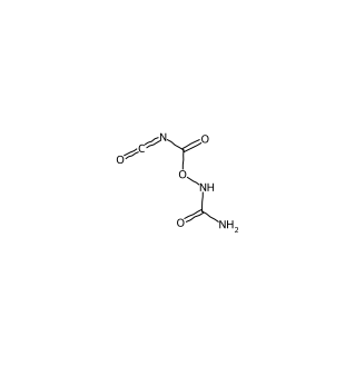 NC(=O)NOC(=O)N=C=O